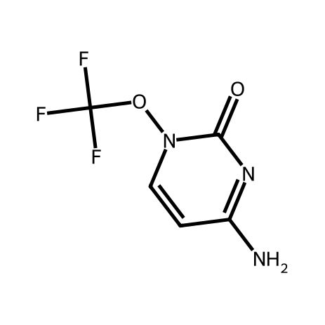 Nc1ccn(OC(F)(F)F)c(=O)n1